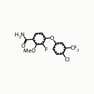 COc1c(C(N)=O)ccc(Oc2ccc(Cl)c(C(F)(F)F)c2)c1F